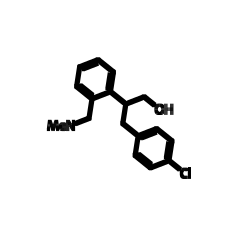 CNCc1ccccc1C(CO)Cc1ccc(Cl)cc1